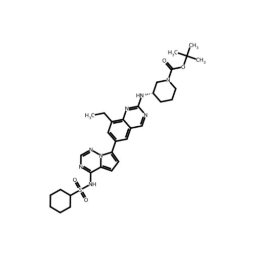 CCc1cc(-c2ccc3c(NS(=O)(=O)C4CCCCC4)ncnn23)cc2cnc(N[C@H]3CCCN(C(=O)OC(C)(C)C)C3)nc12